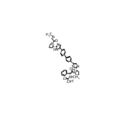 COCC(=O)N1CCC[C@H]1c1ncc(-c2ccc(-c3ccc(-c4cnc([C@@H]5CCCN5C(=O)[C@@H](c5ccccc5)N(C)C(=O)O)[nH]4)cc3)cc2)[nH]1